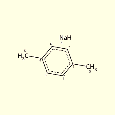 Cc1[c]cc(C)cc1.[NaH]